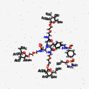 CC(=O)NC1C(OCCOCCNC(=O)CN(CC(=O)NCCOCCOC2OC(COC(C)=O)C(OC(C)=O)C(OC(C)=O)C2NC(C)=O)C(Cc2ccc(CNC(=O)[C@H]3CC[C@@H](OP(OCCC#N)N(C(C)C)C(C)C)CC3)cc2)C(=O)NCCOCCOC2OC(COC(C)=O)C(OC(C)=O)C(OC(C)=O)C2NC(C)=O)OC(COC(C)=O)C(OC(C)=O)C1OC(C)=O